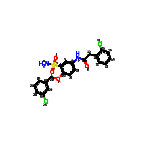 NS(=O)(=O)c1cc(NC(=O)Cc2ccccc2Cl)ccc1OCc1cccc(Cl)c1